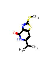 CSc1nc2c(=O)[nH]c(C(C)C)cc2s1